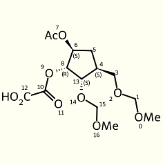 COCOC[C@@H]1C[C@H](OC(C)=O)[C@@H](OC(=O)C(=O)O)[C@H]1OCOC